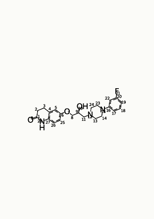 O=C1CCc2cc(OC[C@@H](O)CN3CCN(c4cccc(F)c4)CC3)ccc2N1